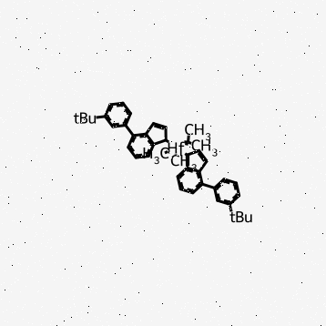 C[C](C)=[Hf]([CH3])([CH3])([CH]1C=Cc2c(-c3cccc(C(C)(C)C)c3)cccc21)[CH]1C=Cc2c(-c3cccc(C(C)(C)C)c3)cccc21